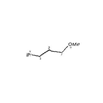 [CH2]OCCCC(C)C